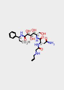 C=CCNCC(=O)N[C@@H](CC(N)=O)C(=O)N[C@@H](CO)[C@@H](O)[C@@H](O)[C@H](O)C(=O)N[C@@H](CC(=O)O)c1ccccc1